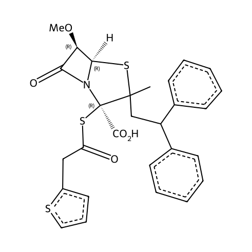 CO[C@@H]1C(=O)N2[C@@H]1SC(C)(CC(c1ccccc1)c1ccccc1)[C@]2(SC(=O)Cc1cccs1)C(=O)O